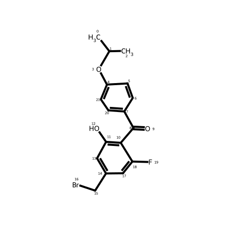 CC(C)Oc1ccc(C(=O)c2c(O)cc(CBr)cc2F)cc1